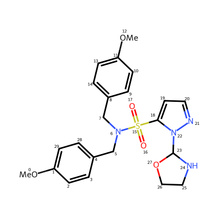 COc1ccc(CN(Cc2ccc(OC)cc2)S(=O)(=O)c2ccnn2C2NCCO2)cc1